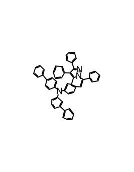 c1ccc(-c2ccc(N(c3cccc(-c4ccccc4)c3)c3ccc4cc(-c5ccccc5)n5nc(-c6ccccc6)c(-c6ccccc6)c5c4c3)cc2)cc1